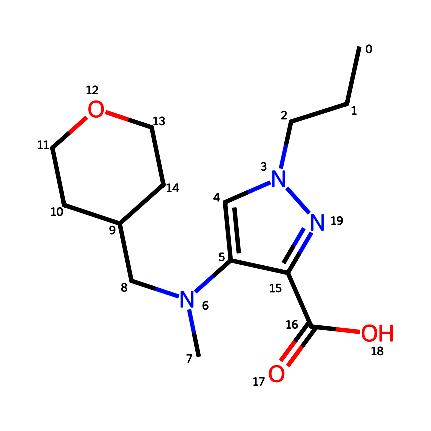 CCCn1cc(N(C)CC2CCOCC2)c(C(=O)O)n1